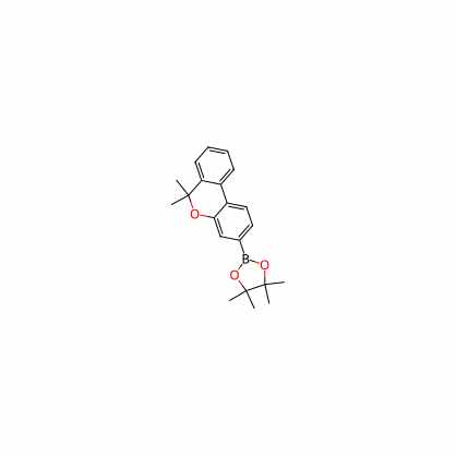 CC1(C)Oc2cc(B3OC(C)(C)C(C)(C)O3)ccc2-c2ccccc21